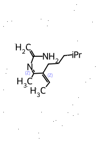 C=C(N)/N=C(C)\C(=C/C)CCCC(C)C